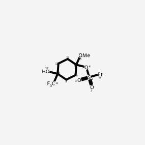 CCS(=O)(=O)OC1(OC)CCC(O)(C(F)(F)F)CC1